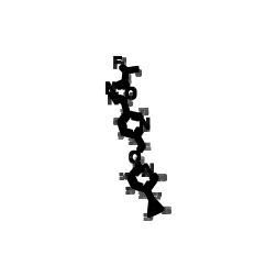 CC(F)c1nnc(-c2ccc(COc3ccc(C4CC4)cn3)nc2)o1